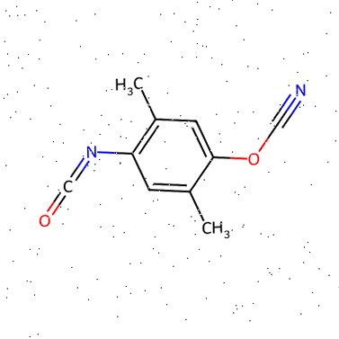 Cc1cc(OC#N)c(C)cc1N=C=O